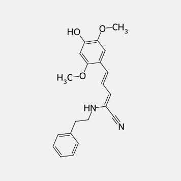 COc1cc(C=CC=C(C#N)NCCc2ccccc2)c(OC)cc1O